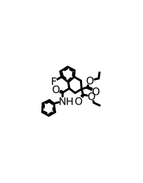 CCOC(=O)C1(C(=O)OCC)Cc2cccc(F)c2C(C(=O)Nc2ccccc2)C1